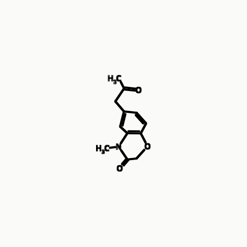 CC(=O)Cc1ccc2c(c1)N(C)C(=O)CO2